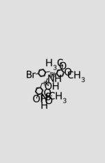 COc1ccc([C@@H](Cc2ccc(Br)cc2)NC[C@@H](O)Cc2ccc(O)c(NS(C)(=O)=O)c2)cc1OC